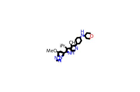 COc1cc(-c2[nH]c3cnc(C4CCC(NC5CCOCC5)CC4)c(C)c3c2C(C)C)cn2ncnc12